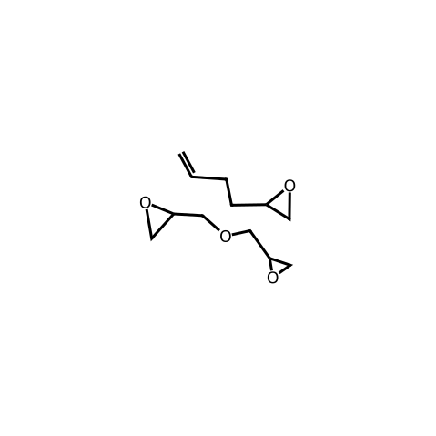 C(OCC1CO1)C1CO1.C=CCCC1CO1